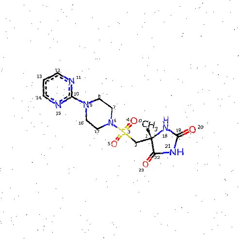 C[C@@]1(CS(=O)(=O)N2CCN(c3ncccn3)CC2)NC(=O)NC1=O